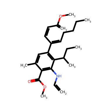 C=CNc1c(C(=O)OC)c(C)cc(C(/C=C\C(=C)OC)=C/CCCC)c1C(C)CC